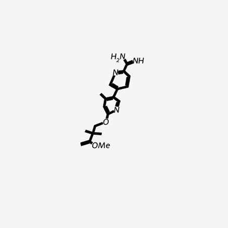 C=C(OC)C(C)(C)COc1cc(C)c(-c2ccc(C(=N)N)nc2)cn1